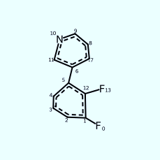 Fc1cccc(-c2[c]ccnc2)c1F